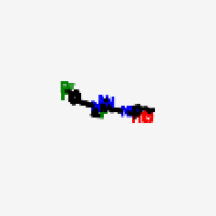 CC(O)Cc1ccc(CNCCCc2ncnc(N(CCCCc3ccc(C(F)(F)F)cc3)C3CC3)c2F)cc1